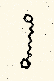 c1ccc(OCCCOCCCOc2ccccc2)cc1